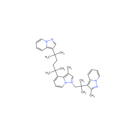 Cc1nn2ccccc2c1C(C)(C)C[n+]1cc(C)c2c(C(C)(C)CCC(C)(C)c3cnn4ccccc34)cccn21